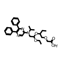 CCOC(CN(c1cnc(-c2ccccc2)c(-c2ccccc2)n1)C(C)C)OC(CC)COCC(=O)O